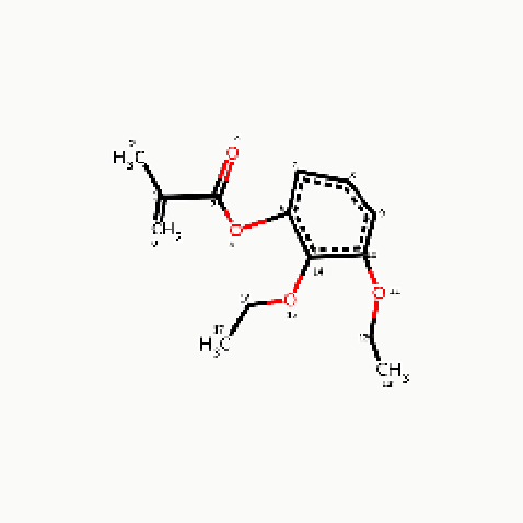 C=C(C)C(=O)Oc1cccc(OCC)c1OCC